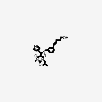 CC(C)Cn1c(=O)n(C)c(=O)c2c(-c3ccncc3)n(Cc3cccc(C#CC=CCO)c3)nc21